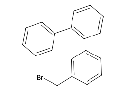 BrCc1ccccc1.c1ccc(-c2ccccc2)cc1